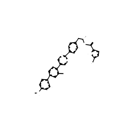 CC(C)(C)c1ccc(C(=O)N[C@@H](Cc2ccc(-c3ncc(-c4ccc(-c5ccc(OC(F)(F)F)cc5)cc4F)cn3)cc2)C(=O)O)s1